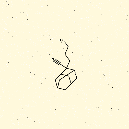 CCCCC1(C#N)C2CC3CC(C2)CC1C3